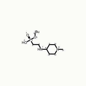 CCC(C)OP(=O)(O)CCNC1CCN(C)CC1